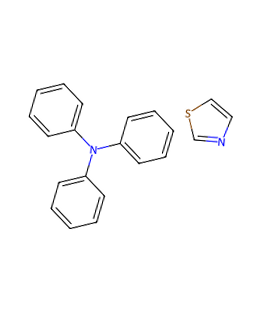 c1ccc(N(c2ccccc2)c2ccccc2)cc1.c1cscn1